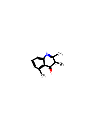 CC1=Nc2cccc(C)c2C(=O)C1C